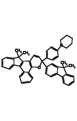 CC1(C)c2ccccc2-c2ccc(C3(c4ccc(N5CCCCC5)cc4)C=Cc4c5c(c6ccccc6c4O3)-c3ccccc3C5(C)C)cc21